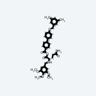 COc1cc(CN[C@@H](CCC(N)=O)C(=O)OC(=O)c2ccc(-c3ccc(OCc4cc(C)cc(C)c4)cc3)cc2)cc(OC)c1OC